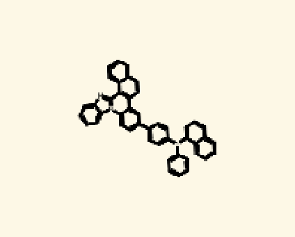 c1ccc(N(c2ccc(-c3ccc4c(c3)c3ccc5ccccc5c3c3nc5ccccc5n43)cc2)c2cccc3ccccc23)cc1